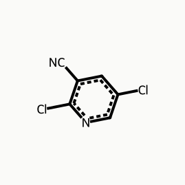 N#Cc1cc(Cl)cnc1Cl